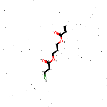 C=CC(=O)OCCCOC(=O)CCCl